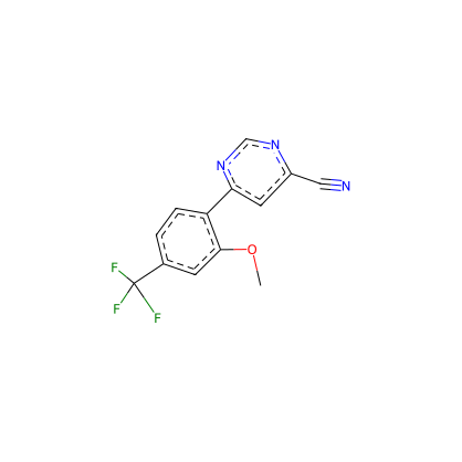 COc1cc(C(F)(F)F)ccc1-c1cc(C#N)ncn1